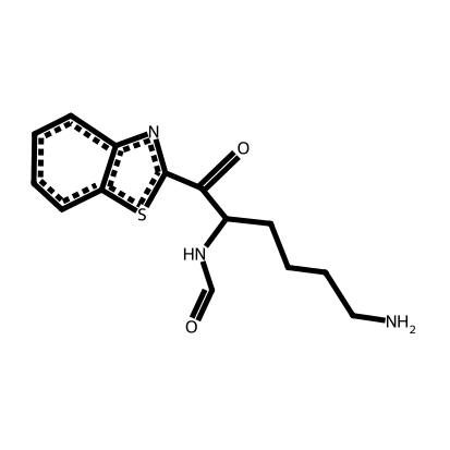 NCCCCC(NC=O)C(=O)c1nc2ccccc2s1